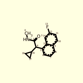 CNC(=O)C(c1cccc2ccc(F)cc12)C1CC1